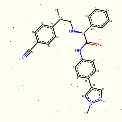 C[C@H](CN[C@H](C(=O)Nc1ccc(-c2cnn(C)c2)cc1)c1ccccc1)c1ccc(C#N)cc1